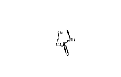 CNC=O.O=C(O)O